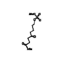 CCCCC(=O)CCC(=O)CCCCOS(=O)(=O)OC